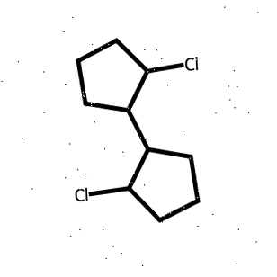 ClC1CCCC1C1CCCC1Cl